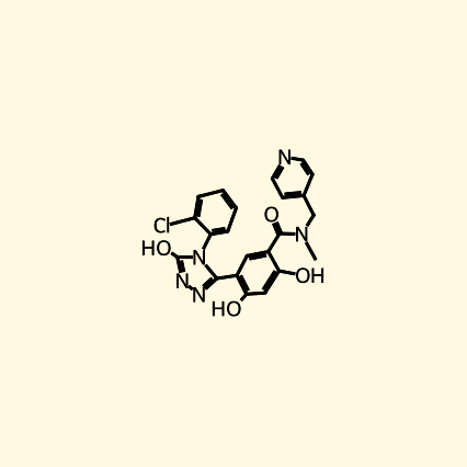 CN(Cc1ccncc1)C(=O)c1cc(-c2nnc(O)n2-c2ccccc2Cl)c(O)cc1O